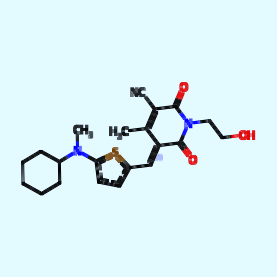 CC1=C(C#N)C(=O)N(CCO)C(=O)/C1=C/c1ccc(N(C)C2CCCCC2)s1